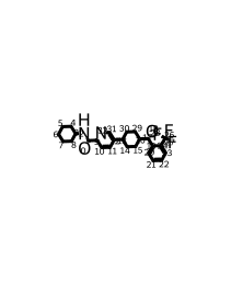 O=C(NC1CCCCC1)c1ccc(C2CCC(C(=O)c3ccccc3C(F)(F)F)CC2)cn1